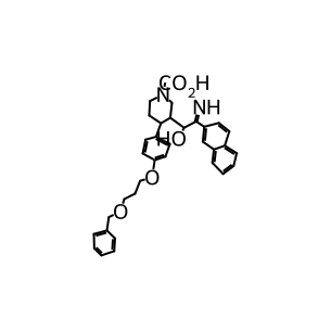 N=C(c1ccc2ccccc2c1)C(O)C1CN(C(=O)O)CCC1c1ccc(OCCCOCc2ccccc2)cc1